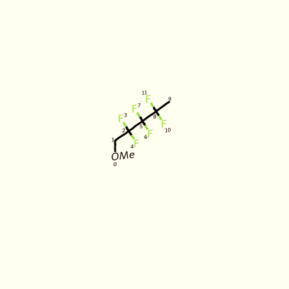 COCC(F)(F)C(F)(F)C(C)(F)F